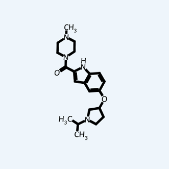 CC(C)N1CCC(Oc2ccc3[nH]c(C(=O)N4CCN(C)CC4)cc3c2)C1